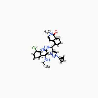 Cn1ccc2c(C(Nc3nc4c(Cl)cccc4c(NCC(C)(C)C)c3C#N)c3cn(C45CC(C4)C5)nn3)cccc2c1=O